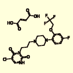 O=C(O)/C=C/C(=O)O.O=c1[nH]cc(Cl)c(=O)n1CCCN1CCN(c2ccc(F)cc2OCC(F)(F)F)CC1